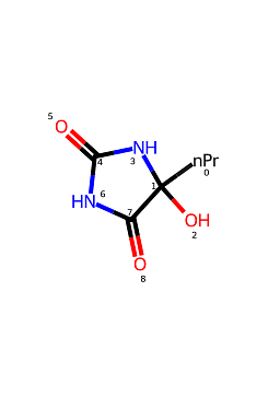 CCCC1(O)NC(=O)NC1=O